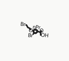 CCCc1cc(C(=O)CO)cc(Br)c1OCCCBr